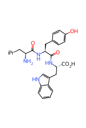 CC(C)C[C@H](N)C(=O)N[C@@H](Cc1ccc(O)cc1)C(=O)N[C@@H](Cc1c[nH]c2ccccc12)C(=O)O